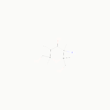 CC(C)(C)C1C(O)C(C)(N)C(C)(CO)OC1(C)CO